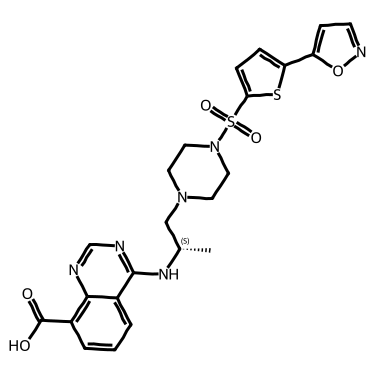 C[C@@H](CN1CCN(S(=O)(=O)c2ccc(-c3ccno3)s2)CC1)Nc1ncnc2c(C(=O)O)cccc12